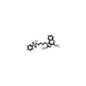 CCCc1nc2c(N)nc3ccccc3c2n1CCCCNS(=O)(=O)c1ccccc1